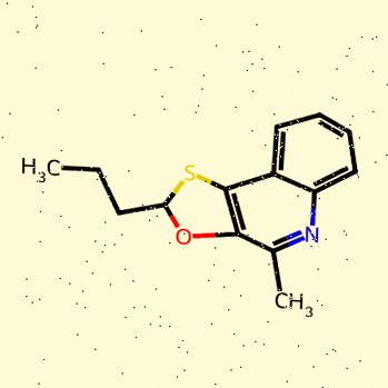 CCCC1Oc2c(C)nc3ccccc3c2S1